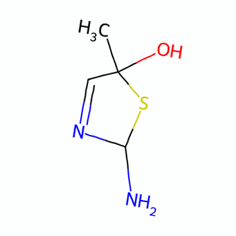 CC1(O)C=NC(N)S1